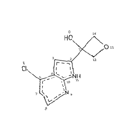 OC1(c2cc3c(Cl)ccnc3[nH]2)COC1